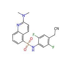 CN(C)c1ccc2c(S(=O)(=O)Nc3cc(F)c(CC#N)cc3F)cccc2n1